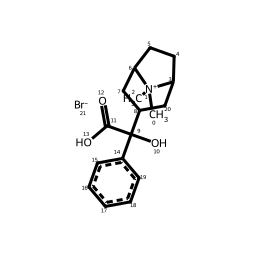 C[N+]1(C)C2CCC1CC(C(O)(C(=O)O)c1ccccc1)C2.[Br-]